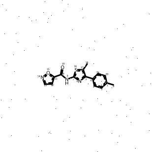 Cc1ccc(-c2nc(NC(=O)c3ccno3)sc2C)cc1